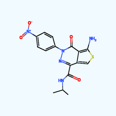 CC(C)NC(=O)c1nn(-c2ccc([N+](=O)[O-])cc2)c(=O)c2c(N)scc12